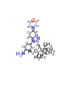 CC(C)[Si](C#Cc1nc2cc(N3CCOCC3)ccc2n1-c1ccc(N)cc1)(C(C)C)C(C)C